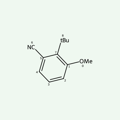 COc1cccc(C#N)c1C(C)(C)C